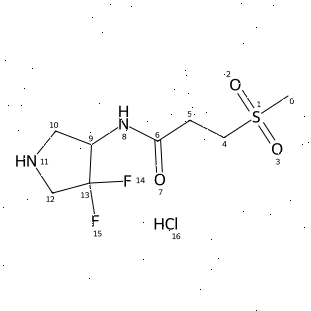 CS(=O)(=O)CCC(=O)NC1CNCC1(F)F.Cl